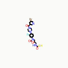 O=C(S)NCC1CN(c2ccc(N3CCN(C(=O)c4cncc(Br)c4)CC3)c(F)c2)C(=O)O1